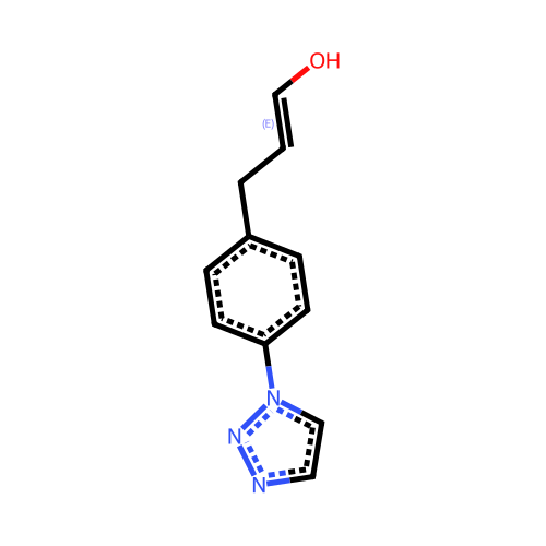 O/C=C/Cc1ccc(-n2ccnn2)cc1